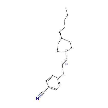 CCCCC[C@H]1CC[C@H](/C=C/[CH]c2ccc(C#N)cc2)CC1